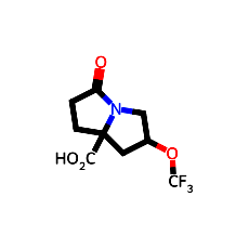 O=C1CCC2(C(=O)O)CC(OC(F)(F)F)CN12